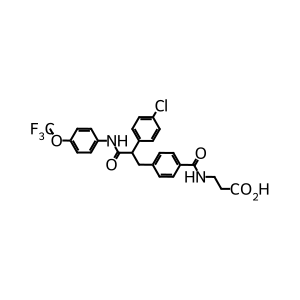 O=C(O)CCNC(=O)c1ccc(CC(C(=O)Nc2ccc(OC(F)(F)F)cc2)c2ccc(Cl)cc2)cc1